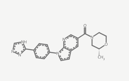 C[C@@H]1CN(C(=O)c2cnc3c(ccn3-c3ccc(-c4nnc[nH]4)cc3)c2)CCO1